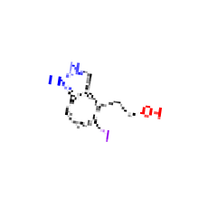 OCCc1c(I)ccc2[nH]ncc12